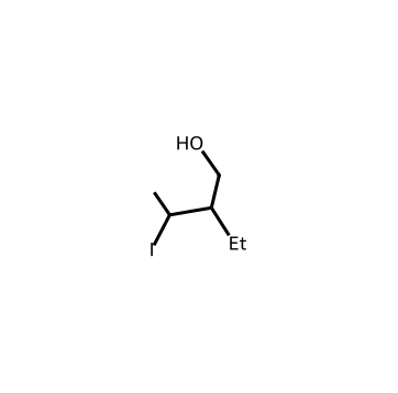 CCC(CO)C(C)I